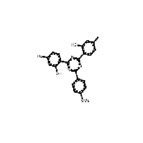 COc1ccc(-c2nc(-c3ccc(C)cc3O)nc(-c3ccc(O)cc3O)n2)cc1